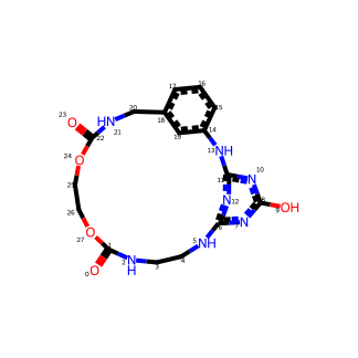 O=C1NCCNc2nc(O)nc(n2)Nc2cccc(c2)CNC(=O)OCCO1